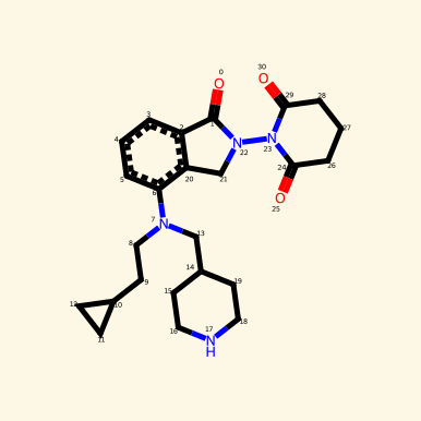 O=C1c2cccc(N(CCC3CC3)CC3CCNCC3)c2CN1N1C(=O)CCCC1=O